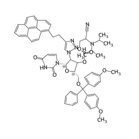 COc1ccc(C(OC[C@@H]2O[C@H](n3ccc(=O)[nH]c3=O)C(n3cc(CCc4ccc5ccc6cccc7ccc4c5c67)nn3)C2O[PH](=O)OCC(C#N)N(C(C)C)C(C)C)(c2ccccc2)c2ccc(OC)cc2)cc1